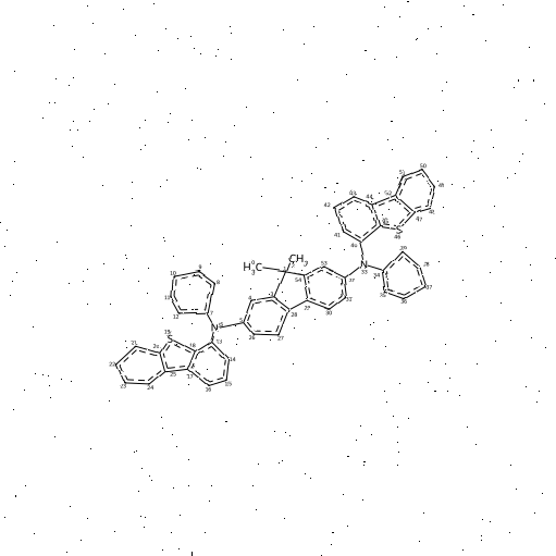 CC1(C)c2cc(N(c3ccccc3)c3cccc4c3sc3ccccc34)ccc2-c2ccc(N(c3ccccc3)c3cccc4c3sc3ccccc34)cc21